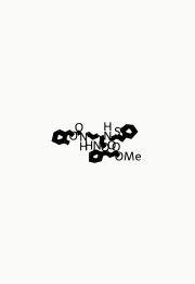 COC(=O)CCc1ccccc1NC(=O)[C@H](CCCNC(=O)OCc1ccccc1C)NC(=O)c1cc2ccccc2s1